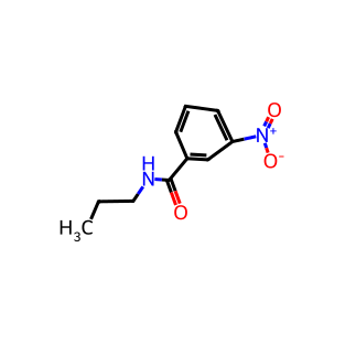 CCCNC(=O)c1cccc([N+](=O)[O-])c1